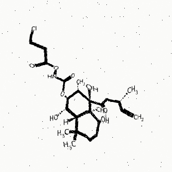 C=C[C@@H](C)CC(=O)[C@@]1(O)[C@@H](C)[C@@H](OC(=O)NOC(=O)CCCl)[C@@H](O)[C@H]2C(C)(C)CC[C@H](O)[C@@]21C